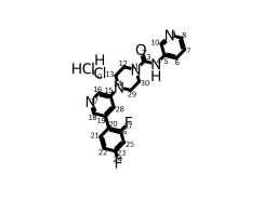 Cl.Cl.O=C(Nc1cccnc1)N1CCN(c2cncc(-c3ccc(F)cc3F)c2)CC1